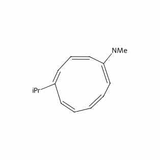 CNc1cccccc(C(C)C)ccc1